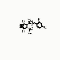 COC(=O)[C@H]1[C@H](C(=O)NCc2ccc(Br)cc2F)[C@@H]2CC[C@H]1C21CC1